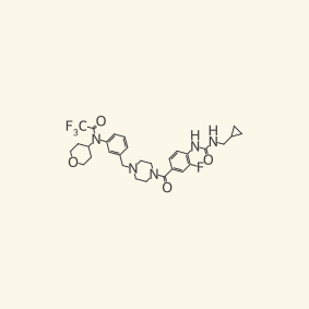 O=C(NCC1CC1)Nc1ccc(C(=O)N2CCN(Cc3cccc(N(C(=O)C(F)(F)F)C4CCOCC4)c3)CC2)cc1F